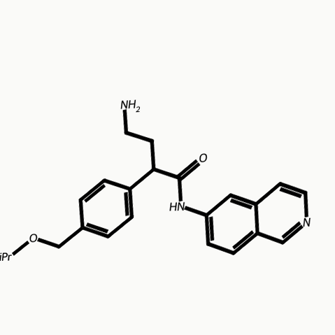 CC(C)OCc1ccc(C(CCN)C(=O)Nc2ccc3cnccc3c2)cc1